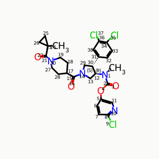 CN(C(=O)Oc1ccc(Cl)nc1)[C@H]1CN(C(=O)C2CCN(C(=O)C3(C)CC3)CC2)C[C@@H]1c1ccc(Cl)c(Cl)c1